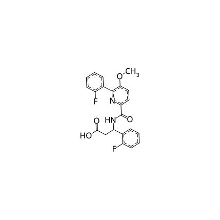 COc1ccc(C(=O)NC(CC(=O)O)c2ccccc2F)nc1-c1ccccc1F